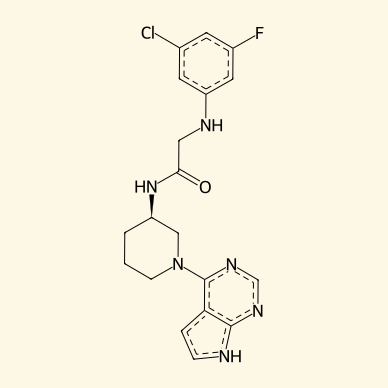 O=C(CNc1cc(F)cc(Cl)c1)N[C@@H]1CCCN(c2ncnc3[nH]ccc23)C1